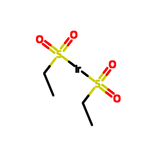 CC[S](=O)(=O)[Ir][S](=O)(=O)CC